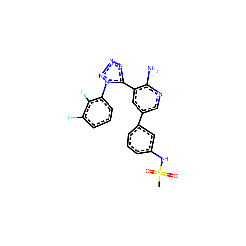 CS(=O)(=O)Nc1cccc(-c2cnc(N)c(-c3nnnn3-c3cccc(F)c3F)c2)c1